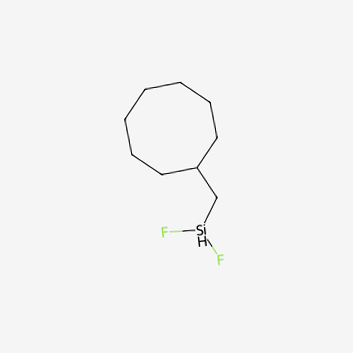 F[SiH](F)CC1CCCCCCC1